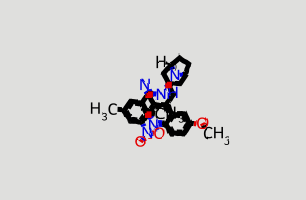 COc1ccc2ncc(C#N)c(CCN3C4CC[C@H]3CC(NCc3cc(C)cc([N+](=O)[O-])c3C)C4)c2c1